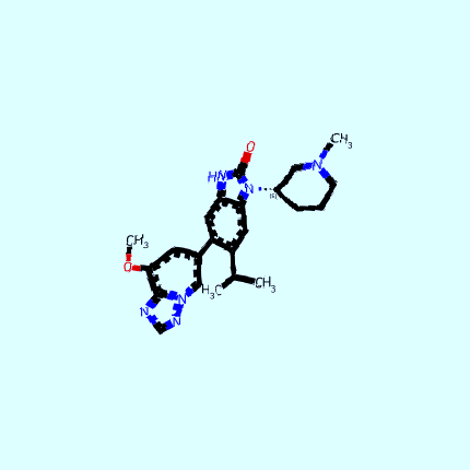 COc1cc(-c2cc3[nH]c(=O)n([C@H]4CCCN(C)C4)c3cc2C(C)C)cn2ncnc12